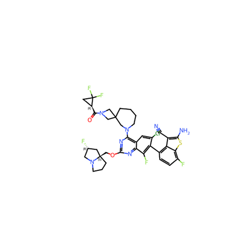 N#Cc1c(N)sc2c(F)ccc(-c3c(Cl)cc4c(N5CCCCC6(CN(C(=O)[C@H]7CC7(F)F)C6)C5)nc(OC[C@@]56CCCN5C[C@H](F)C6)nc4c3F)c12